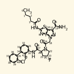 CCCCC(=O)Nc1nc2c(s1)c(C(N)=O)nn2CC(=O)N1C[C@H](F)C[C@H]1C(=O)Nc1cccc(-c2ccccc2Cl)c1F